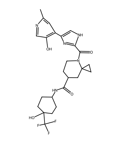 Cc1cc(-c2c[nH]c(C(=O)N3CCC(C(=O)NC4CCC(O)(C(F)(F)F)CC4)CC34CC4)n2)c(O)cn1